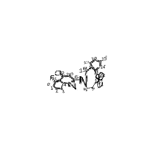 Cc1ccc2nc(N3CCS(=O)(=O)c4ccccc4C3)cc(Cl)c2c1F